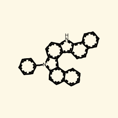 c1ccc(-n2c3ccc4ccccc4c3c3c4c(ccc32)[nH]c2c3ccccc3ccc24)cc1